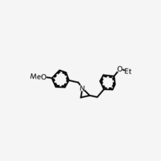 CCOc1ccc(CC2CN2Cc2ccc(OC)cc2)cc1